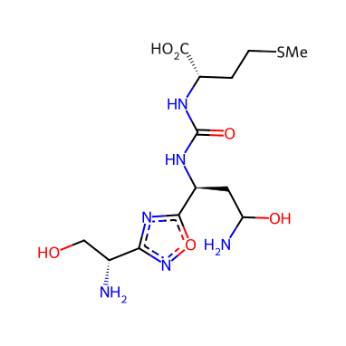 CSCC[C@H](NC(=O)N[C@@H](CC(N)O)c1nc([C@H](N)CO)no1)C(=O)O